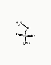 COS(=O)(=O)NN